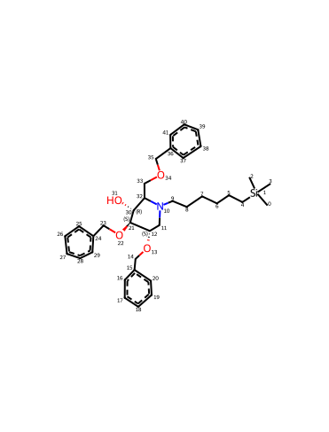 C[Si](C)(C)CCCCCCN1C[C@H](OCc2ccccc2)[C@@H](OCc2ccccc2)[C@H](O)C1COCc1ccccc1